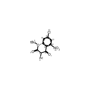 CC(=O)C(C(=O)OC(C)(C)C)C(=O)c1ccc(Cl)cc1[N+](=O)[O-]